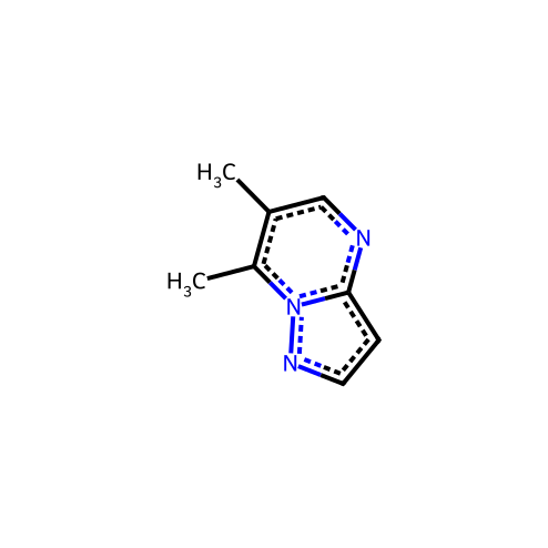 Cc1cnc2ccnn2c1C